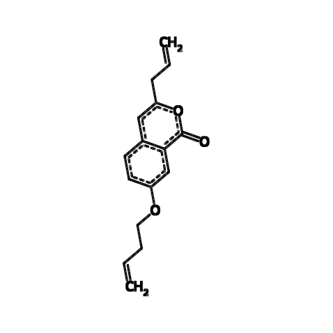 C=CCCOc1ccc2cc(CC=C)oc(=O)c2c1